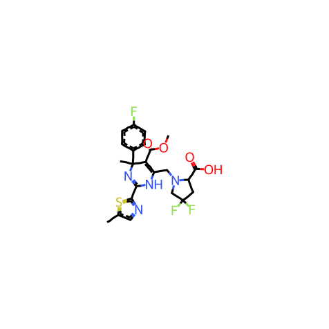 COC(=O)C1=C(CN2CC(F)(F)CC2C(=O)O)NC(c2ncc(C)s2)=NC1(C)c1ccc(F)cc1